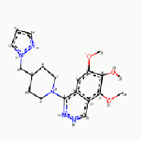 COc1cc2c(N3CCC(Cn4cccn4)CC3)nncc2c(OC)c1OC